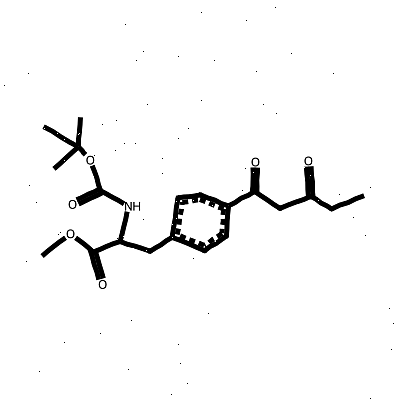 CCC(=O)CC(=O)c1ccc(CC(NC(=O)OC(C)(C)C)C(=O)OC)cc1